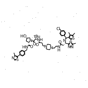 Cc1ncsc1-c1ccc(CNC(=O)[C@@H]2C[C@@H](O)CN2C(=O)[C@@H](NC(=O)CCN2CCN(CCNC(=O)C[C@@H]3N=C(c4ccc(Cl)cc4)c4c(sc(C)c4C)-n4c(C)nnc43)CC2)C(C)(C)C)cc1